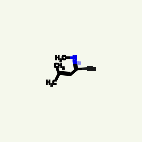 C/N=C(\C=C(C)C)C(C)(C)C